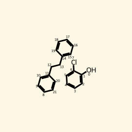 Oc1ccccc1Cl.c1ccc(CCc2ccccc2)cc1